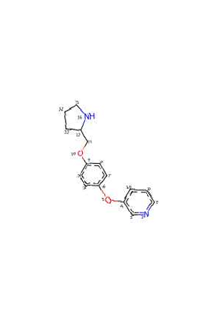 c1cncc(Oc2ccc(OCC3CCCN3)cc2)c1